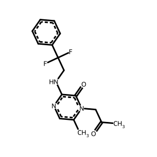 CC(=O)Cn1c(C)cnc(NCC(F)(F)c2ccccc2)c1=O